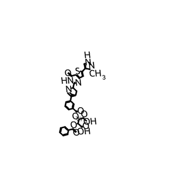 Cc1n[nH]cc1-c1cc2nc(C3CC4CCN3CC4c3cccc(C(=O)O[C@H](C(=O)O)C(OC(=O)c4ccccc4)C(=O)O)c3)[nH]c(=O)c2s1